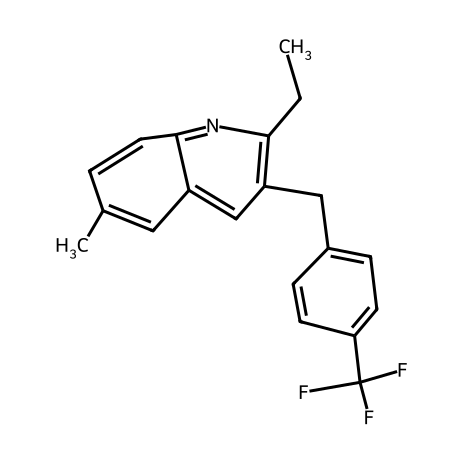 CCc1nc2ccc(C)cc2cc1Cc1ccc(C(F)(F)F)cc1